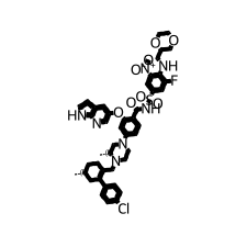 C[C@@H]1CCC(CN2CCN(c3ccc(C(=O)NS(=O)(=O)c4cc(F)c(NCC5COCCO5)c([N+](=O)[O-])c4)c(Oc4cnc5[nH]ccc5c4)c3)C[C@H]2C)=C(c2ccc(Cl)cc2)C1